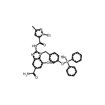 CCn1nc(C)cc1C(=O)Nc1nc2cc(C(N)=O)cc(OC)c2n1Cc1ccc(O[Si](c2ccccc2)(c2ccccc2)C(C)(C)C)cc1